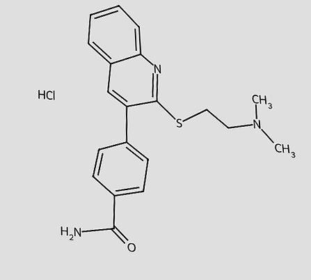 CN(C)CCSc1nc2ccccc2cc1-c1ccc(C(N)=O)cc1.Cl